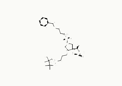 CC1(C)OB(CCC[C@H]2CN(S(=O)(=O)NCCOCc3ccccc3)C[C@@]2(N=[N+]=[N-])C(=O)O)OC1(C)C